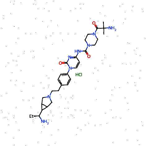 CC[C@H](N)C1C2CN(CCc3ccc(-n4ccc(NC(=O)N5CCN(C(=O)C(C)(C)N)CC5)nc4=O)cc3)CC21.Cl